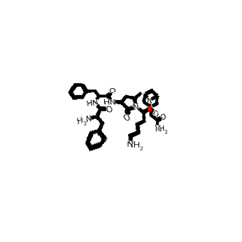 CC1CC(NC(=O)C(Cc2ccccc2)NC(=O)C(N)Cc2ccccc2)C(=O)N1C(CCCCN)C(=O)N1C2CC1CN(CC(N)=O)C2